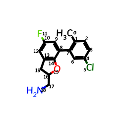 Cc1ccc(Cl)cc1-c1cc(F)cc2c1OC(CN)C2